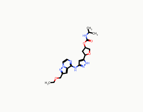 CCOCc1cc2c(Nc3cc(C4CC(OC(=O)NC(C)C)CO4)[nH]n3)nccn2n1